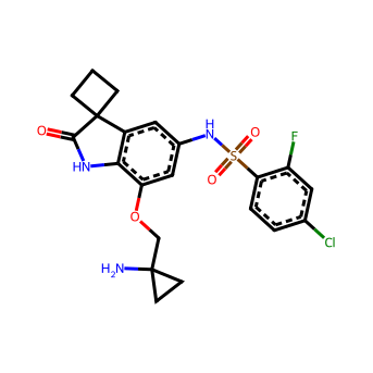 NC1(COc2cc(NS(=O)(=O)c3ccc(Cl)cc3F)cc3c2NC(=O)C32CCC2)CC1